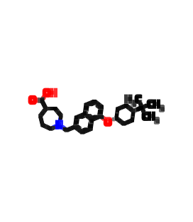 CC(C)(C)[C@H]1CC[C@H](Oc2cccc3cc(CN4CCCC(C(=O)O)CC4)ccc23)CC1